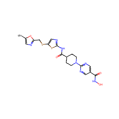 CC(C)(C)c1cnc(CSc2cnc(NC(=O)C3CCN(c4ncc(C(=O)NO)cn4)CC3)s2)o1